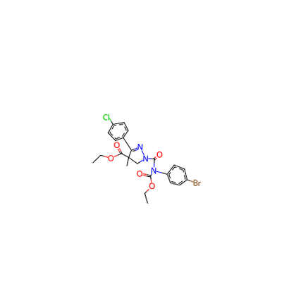 CCOC(=O)N(C(=O)N1CC(C)(C(=O)OCC)C(c2ccc(Cl)cc2)=N1)c1ccc(Br)cc1